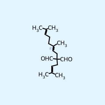 CC(C)=CCC/C(C)=C/CC(C=O)(C=O)CC=C(C)C